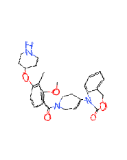 COc1c(C(=O)N2CCC(N3C(=O)OCc4ccccc43)CC2)ccc(OC2CCNCC2)c1C